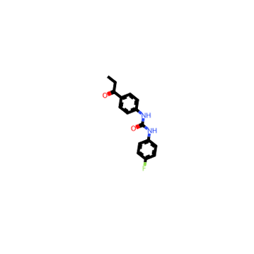 CCC(=O)c1ccc(NC(=O)Nc2ccc(F)cc2)cc1